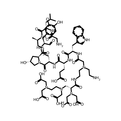 CC(C)C[C@H](NC(=O)CN)C(=O)N[C@H](C)CSSC[C@H](NC(=O)[C@@H](CCC(=O)O)NC(=O)[C@H](Cc1c[nH]c2ccccc12)NC(=O)CN(CCN)CCNC(=O)[C@@H](CN(CCN(CC(=O)O)CC(=O)O)CC(=O)O)N(CC(=O)O)CC(=O)O)C(=O)N1C[C@H](O)C[C@H]1C(=O)N[C@H](C=O)Cc1ccc(O)c(Cl)c1